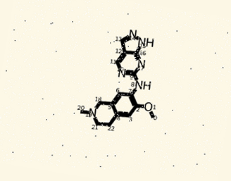 COc1cc2c(cc1Nc1ncc3cn[nH]c3n1)CN(C)CC2